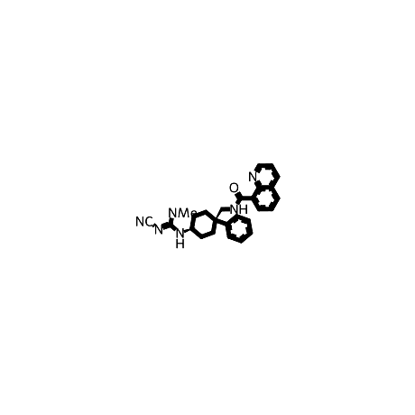 CN/C(=N\C#N)N[C@H]1CC[C@](CNC(=O)c2cccc3cccnc23)(c2ccccc2)CC1